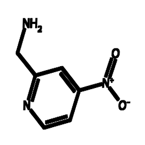 NCc1cc([N+](=O)[O-])ccn1